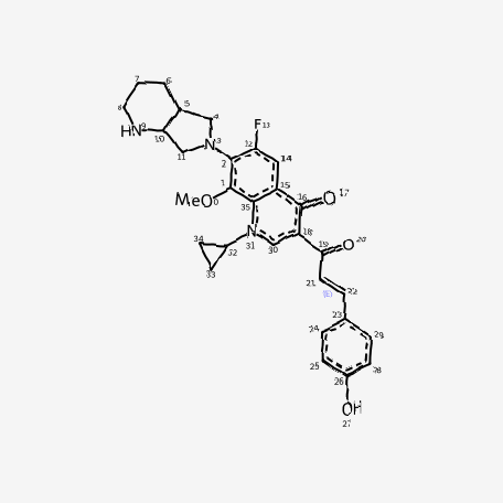 COc1c(N2CC3CCCNC3C2)c(F)cc2c(=O)c(C(=O)/C=C/c3ccc(O)cc3)cn(C3CC3)c12